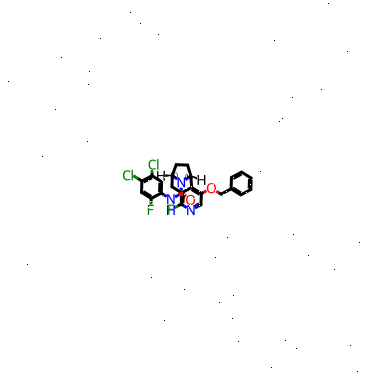 O=C(Nc1cc(Cl)c(Cl)cc1F)N1[C@H]2CC[C@@H]1c1c(OCc3ccccc3)cnc(F)c1C2